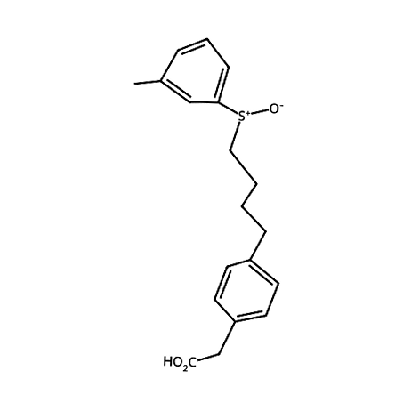 Cc1cccc([S+]([O-])CCCCc2ccc(CC(=O)O)cc2)c1